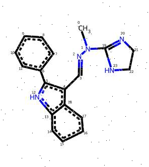 CN(N=Cc1c(-c2ccccc2)[nH]c2ccccc12)C1=NCCN1